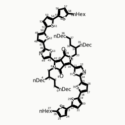 CCCCCCCCCCCCC(CCCCCCCCCC)CN1C(=O)C2=C(c3cnc(-c4ccc(-c5ccc(-c6ccc(CCCCCC)s6)s5)s4)s3)N(CC(CCCCCCCCCC)CCCCCCCCCCCC)C(=O)C2=C1c1cnc(-c2ccc(-c3ccc(-c4ccc(CCCCCC)s4)s3)s2)s1